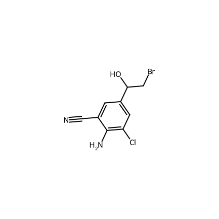 N#Cc1cc(C(O)CBr)cc(Cl)c1N